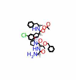 CC(=O)OC[C@H](Cc1ccccc1)NC(=O)[C@@](C)(/C=C/[C@@H]1CCCN1C(=O)[C@@H](NC(=O)[C@H](C)N)C(C)OCc1ccccc1)Cc1cccc(Cl)c1